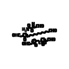 NC(=O)C(=O)NCC=O.O=CCC1CCN(CC=O)C1=O.O=CCCCCCCCCCCCN1CCC(CC=O)C1=O.O=CCN1CCCC1=O